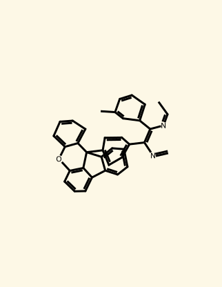 C=N/C(=C(\N=C/C)c1cccc(C)c1)c1ccc(C23c4ccccc4Oc4cccc(c42)-c2ccccc23)cc1